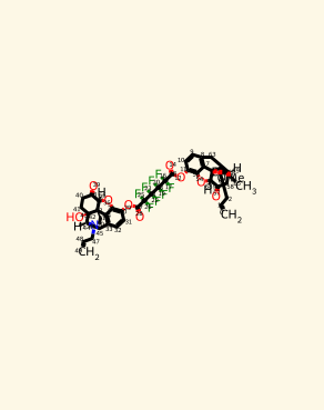 C=CCC1CCC23c4c5ccc(OC(=O)C(F)(F)C(F)(F)C(F)(F)C(F)(F)C(=O)Oc6ccc7c8c6O[C@H]6C(=O)CC[C@@]9(O)[C@@H](C7)N(CC=C)CC[C@]869)c4O[C@H]2C(=O)CC[C@@]3(OC)[C@@H](C5)C1C